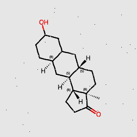 C[C@@]12CC[C@H]3CC4CC(O)CC[C@@H]4C[C@@H]3[C@H]1CCC2=O